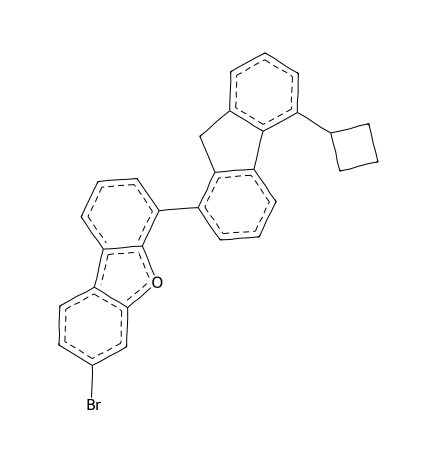 Brc1ccc2c(c1)oc1c(-c3cccc4c3Cc3cccc(C5CCC5)c3-4)cccc12